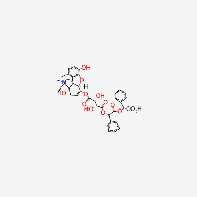 Cc1ccc(O)c2c1[C@]13CCN(C)[C@H](C)[C@]1(O)CC=C(OC(=O)[C@H](O)[C@@H](O)C(=O)O[C@H](C(=O)O[C@H](C(=O)O)c1ccccc1)c1ccccc1)[C@@H]3O2